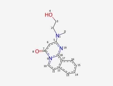 CN(CCO)c1cc(=O)n2ccc3ccccc3c2n1